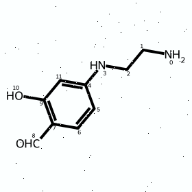 NCCNc1ccc(C=O)c(O)c1